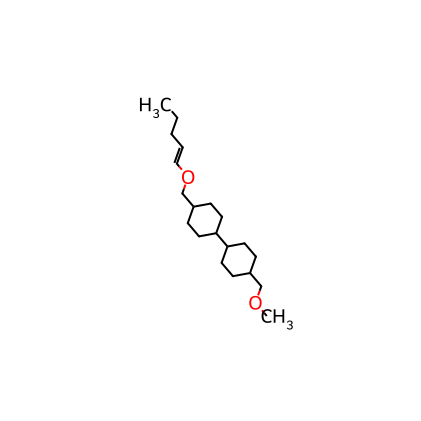 CCCC=COCC1CCC(C2CCC(COC)CC2)CC1